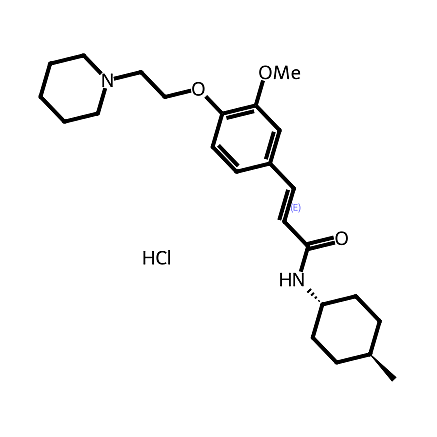 COc1cc(/C=C/C(=O)N[C@H]2CC[C@H](C)CC2)ccc1OCCN1CCCCC1.Cl